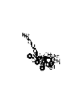 CC(=O)O[C@H]1C(=O)[C@@]2(C)[C@H]([C@H](OC(=O)c3ccccc3)[C@]3(O)C[C@H](OC(=O)[C@H](OC(=O)COCCOCCOCCN=[N+]=[N-])[C@@H](NC(=O)c4ccccc4)c4ccccc4)C(C)=C1C3(C)C)[C@]1(OC(C)=O)CO[C@@H]1C[C@@H]2O